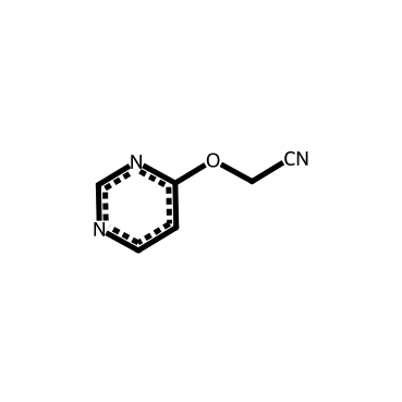 N#CCOc1ccncn1